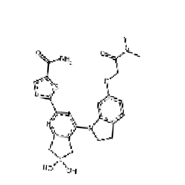 CN(C)C(=O)COc1ccc2c(c1)N(c1nc(-c3ccc(C(N)=O)s3)nc3c1CS(O)(O)C3)CC2